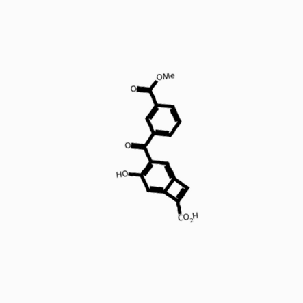 COC(=O)c1cccc(C(=O)c2cc3c(cc2O)C(C(=O)O)=C3)c1